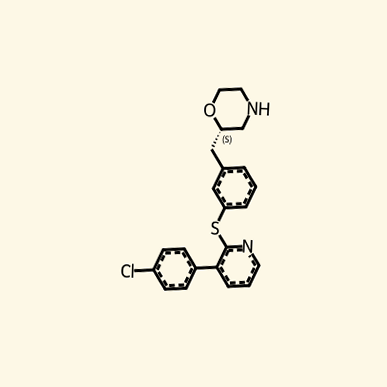 Clc1ccc(-c2cccnc2Sc2cccc(C[C@H]3CNCCO3)c2)cc1